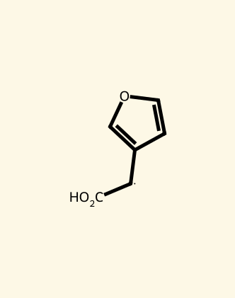 O=C(O)[CH]c1ccoc1